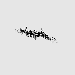 Cc1c(NC(=O)c2cc(NC(=O)c3[nH]nc([N+](=O)[O-])c3C)cn2C)c[nH]c1C(=O)NCCC(N)=O